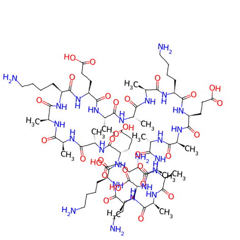 C[C@H](NC(=O)[C@H](C)NC(=O)[C@H](CCC(=O)O)NC(=O)[C@H](CCCCN)NC(=O)[C@H](C)NC(=O)[C@H](C)NC(=O)[C@H](C)NC(=O)[C@H](CCC(=O)O)NC(=O)[C@H](CCCCN)NC(=O)[C@H](C)NC(=O)[C@H](C)NC(=O)[C@H](C)NC(=O)[C@H](CCC(=O)O)NC(=O)[C@H](CCCCN)NC(=O)[C@H](C)NC(=O)[C@H](C)NC(=O)[C@H](C)NC(=O)[C@@H](N)CCC(=O)O)C(=O)N[C@@H](C)C(=O)N[C@@H](CCCCN)C(=O)O